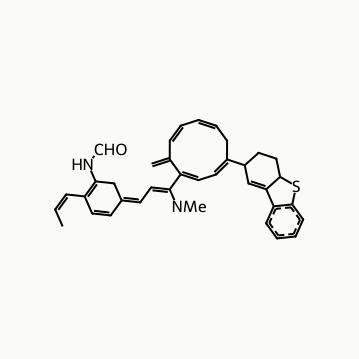 C=C1/C=C\C=C/C\C(C2C=C3c4ccccc4SC3CC2)=C/C=C1/C(=C/C=C1/C=CC(/C=C\C)=C(NC=O)C1)NC